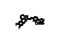 COc1nc(/C=C/c2nc3n(n2)CCCC3c2cc(F)c(F)cc2F)ccc1-n1cnc(C)c1